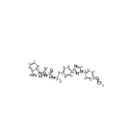 CCCc1ccccc1NC(=S)NC(=O)NC(C)Cc1ccc(-c2ncn(-c3ccc(OC(F)(F)F)cc3)n2)cc1